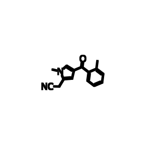 Cc1ccccc1C(=O)c1cc(CC#N)n(C)c1